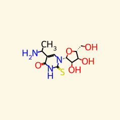 CC(N)c1cn([C@@H]2O[C@H](CO)[C@@H](O)[C@H]2O)c(=S)[nH]c1=O